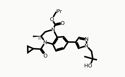 CC(C)OC(=O)N1C[C@H](C)N(C(=O)C2CC2)c2ccc(-c3cnn(CC(C)(C)O)c3)cc21